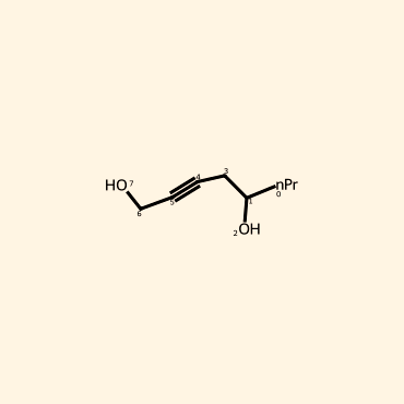 [CH2]CCC(O)CC#CCO